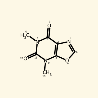 Cn1c(=O)c2ncoc2n(C)c1=O